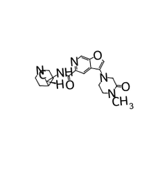 CN1CCN(c2coc3cnc(C(=O)N[C@H]4CN5CCC4CC5)cc23)CC1=O